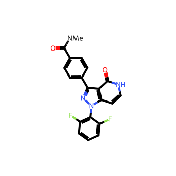 CNC(=O)c1ccc(-c2nn(-c3c(F)cccc3F)c3cc[nH]c(=O)c23)cc1